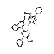 COC(=O)N(NC(=O)c1c(CN2C[C@H]3C[C@@H]2CN3C2CCCCC2)c(-c2ccccc2)nc2ccccc12)c1ccccc1